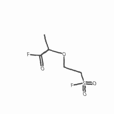 CC(OCCS(=O)(=O)F)C(=O)F